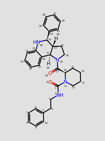 O=C(NCCc1ccccc1)N1CCCC[C@@H]1C(=O)N1CC[C@H]2[C@H](c3ccccc3)Nc3ccccc3[C@@H]21